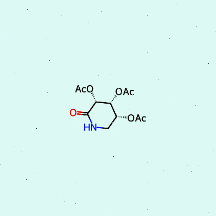 CC(=O)O[C@@H]1[C@H](OC(C)=O)CNC(=O)[C@@H]1OC(C)=O